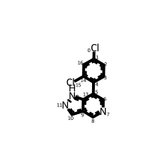 Clc1ccc(-c2cncc3cn[nH]c23)c(Cl)c1